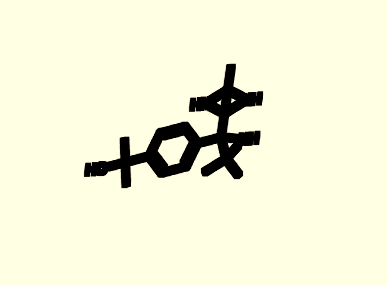 CC(C)(O)c1ccc(C2(C34NC3(C)N4)NC2(C)C)cc1